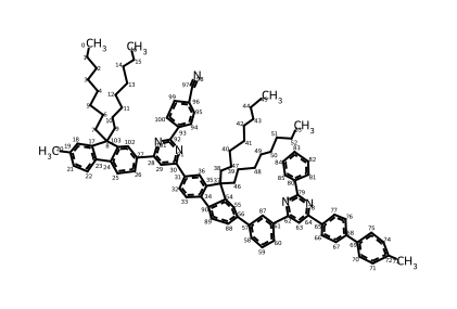 CCCCCCCCC1(CCCCCCCC)c2cc(C)ccc2-c2ccc(-c3cc(-c4ccc5c(c4)C(CCCCCCCC)(CCCCCCCC)c4cc(-c6cccc(-c7cc(-c8ccc(-c9ccc(C)cc9)cc8)nc(-c8ccccc8)n7)c6)ccc4-5)nc(-c4ccc(C#N)cc4)n3)cc21